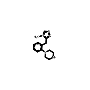 Cn1cnnc1Cc1ccccc1N1CCNCC1